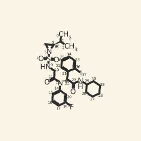 CC(C)[C@@H]1CN1S(=O)(=O)NCC(=O)N(c1cccc(F)c1)[C@@H](C(=O)NC1CCCCC1)c1ccccc1I